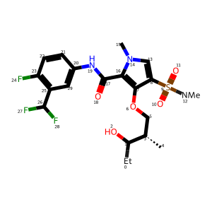 CCC(O)[C@@H](C)COc1c(S(=O)(=O)NC)cn(C)c1C(=O)Nc1ccc(F)c(C(F)F)c1